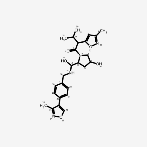 Cc1cc(C(C(=O)N2CC(O)CC2C(O)NCc2ccc(-c3conc3C)cc2)C(C)C)on1